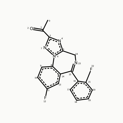 CC(=O)c1nc2n(n1)-c1ccc(F)cc1C(c1ccccc1F)=NC2